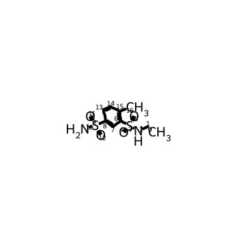 CCNS(=O)(=O)c1cc(S(N)(=O)=O)ccc1C